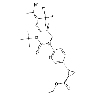 C=C(/C=C\C(=C(/C)Br)C(F)(F)F)CN(C(=O)OC(C)(C)C)c1ccc([C@@H]2C[C@H]2C(=O)OCC)cn1